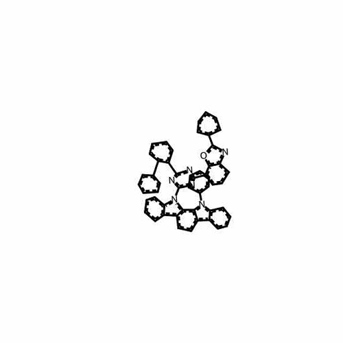 c1ccc(-c2nc3cccc(-c4nc(-c5ccccc5-c5ccccc5)nc(-n5c6ccccc6c6ccc7c8ccccc8n(-c8ccccc8)c7c65)n4)c3o2)cc1